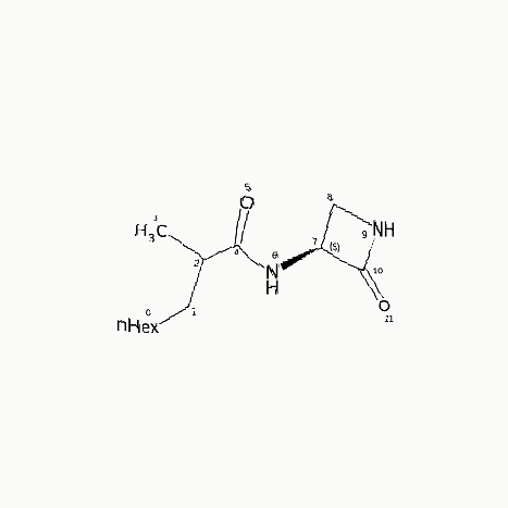 CCCCCCCC(C)C(=O)N[C@H]1CNC1=O